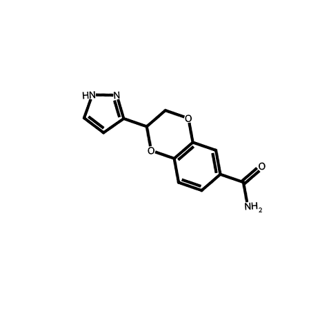 NC(=O)c1ccc2c(c1)OCC(c1cc[nH]n1)O2